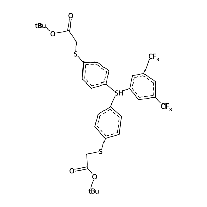 CC(C)(C)OC(=O)CSc1ccc([SH](c2ccc(SCC(=O)OC(C)(C)C)cc2)c2cc(C(F)(F)F)cc(C(F)(F)F)c2)cc1